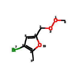 COOCc1cc(Br)c(C)o1